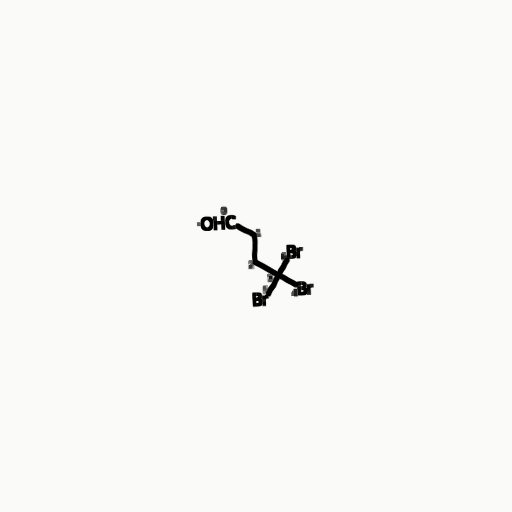 O=[C]CCC(Br)(Br)Br